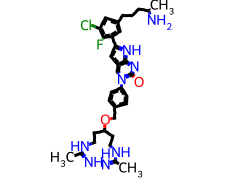 CC(=N)NCCC(CCNC(C)=N)OCc1ccc(-n2cc3cc(-c4cc(CCC[C@H](C)N)cc(Cl)c4F)[nH]c3nc2=O)cc1